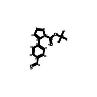 CC(C)(C)OC(=O)n1cccc1-c1ccc(C=O)cc1